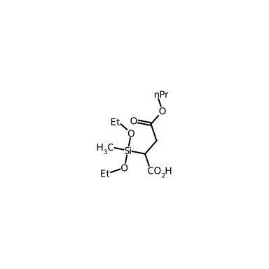 CCCOC(=O)CC(C(=O)O)[Si](C)(OCC)OCC